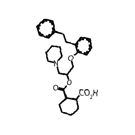 O=C(O)C1CCCCC1C(=O)OC(COc1ccccc1CCc1ccccc1)CN1CCCCC1